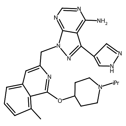 Cc1cccc2cc(Cn3nc(-c4cn[nH]c4)c4c(N)ncnc43)nc(OC3CCN(C(C)C)CC3)c12